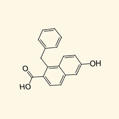 O=C(O)c1ccc2cc(O)ccc2c1Cc1ccccc1